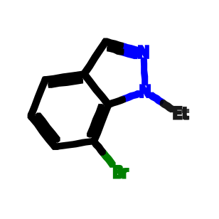 CCn1ncc2cccc(Br)c21